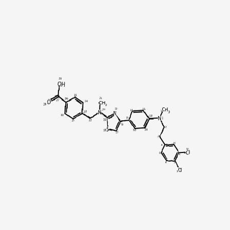 CN(CCc1ccc(Cl)c(Cl)c1)c1ccc(-c2csc(N(C)Cc3ccc(C(=O)O)cc3)n2)cc1